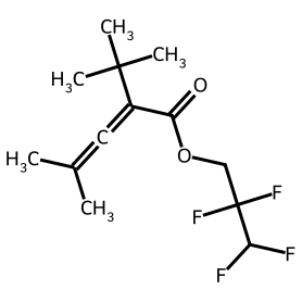 CC(C)=C=C(C(=O)OCC(F)(F)C(F)F)C(C)(C)C